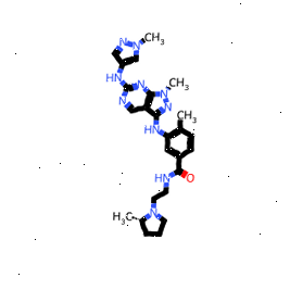 Cc1ccc(C(=O)NCCN2CCC[C@@H]2C)cc1Nc1nn(C)c2nc(Nc3cnn(C)c3)ncc12